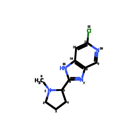 CN1CCCC1c1nc2cnc(Cl)cc2[nH]1